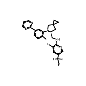 Cc1c[c]c(-c2ncccn2)cc1N1CC2(CC2)C[C@H]1CNc1ncc(C(F)(F)F)cc1F